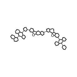 c1ccc(-c2c3ccccc3c(-c3ccc4c(c3)oc3c5cc(-c6ccc7cc8oc9cc(-c%10cccc(-c%11c%12ccccc%12c(-c%12cccc%13ccccc%12%13)c%12ccccc%11%12)c%10)ccc9c8cc7c6)ccc5ccc43)c3ccccc23)cc1